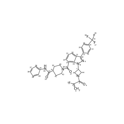 C=C(F)C(=O)N1CC(n2nc(-c3ccc(C(F)(F)F)cc3)c3cccc(C(=O)N4CCC(C(=O)Nc5ccccc5)CC4)c32)C1